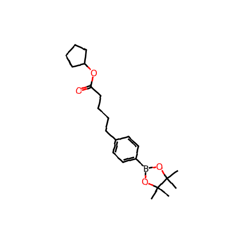 CC1(C)OB(c2ccc(CCCCC(=O)OC3CCCC3)cc2)OC1(C)C